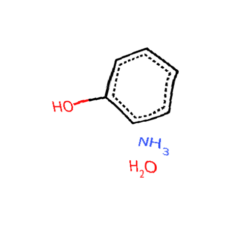 N.O.Oc1ccccc1